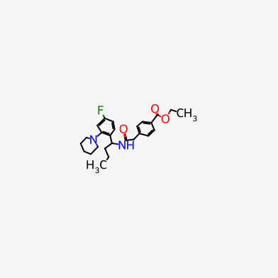 CCCC(NC(=O)Cc1ccc(C(=O)OCC)cc1)c1ccc(F)cc1N1CCCCC1